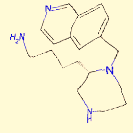 NCCCC[C@H]1CNCCCN1Cc1ccc2cnccc2c1